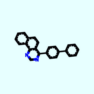 c1ccc(-c2ccc(-c3ncnc4c3ccc3ccccc34)cc2)cc1